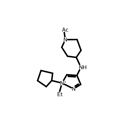 CC[N+]1(C2CCCC2)C=C(NC2CCN(C(C)=O)CC2)C=N1